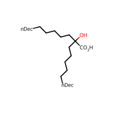 CCCCCCCCCCCCCCCC(O)(CCCCCCCCCCCCCCC)C(=O)O